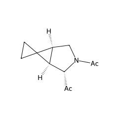 CC(=O)[C@@H]1[C@@H]2[C@H](CN1C(C)=O)C21CC1